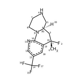 C[C@]1(F)C[C@@H]2CNCCN2c2ncc(C(F)(F)F)cc21